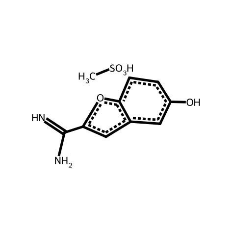 CS(=O)(=O)O.N=C(N)c1cc2cc(O)ccc2o1